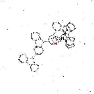 c1ccc([Si](c2ccccc2)(c2ccccc2)c2ccccc2-c2cc(-n3c4ccccc4c4cc(-n5c6ccccc6c6ccccc65)ccc43)ccc2-n2c3ccccc3c3ccccc32)cc1